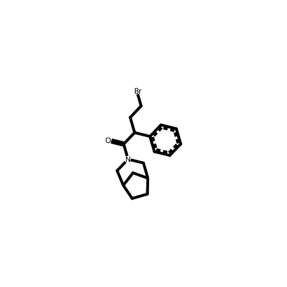 O=C(C(CCBr)c1ccccc1)N1CC2CCC(C2)C1